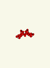 c1ccc(N(c2ccc3ccc4c(N(c5ccc(C6(c7ccc(N(c8ccc9ccc%10c(N(c%11ccccc%11)c%11cccc%12c%11oc%11ccccc%11%12)ccc%11ccc8c9c%11%10)c8cccc9c8oc8ccccc89)cc7)CCCC6)cc5)c5cccc6c5oc5ccccc56)ccc5ccc2c3c54)c2cccc3c2oc2ccccc23)cc1